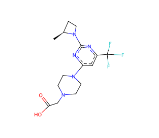 C[C@H]1CCN1c1nc(N2CCN(CC(=O)O)CC2)cc(C(F)(F)F)n1